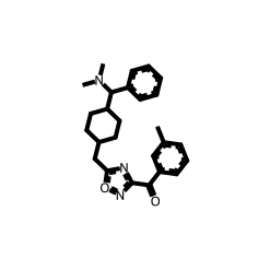 Cc1cccc(C(=O)c2noc(CC3CCC(C(c4ccccc4)N(C)C)CC3)n2)c1